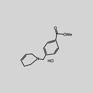 COC(=O)c1ccc(CN2CC=CCC2)cc1.Cl